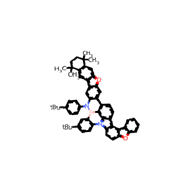 CC(C)(C)c1ccc(N2B3c4cc(C(C)(C)C)ccc4-n4c5ccc6oc7ccccc7c6c5c5ccc(c3c54)-c3cc4oc5cc6c(cc5c4cc32)C(C)(C)CCC6(C)C)cc1